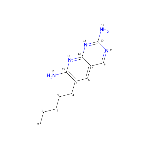 CCCCCc1cc2cnc(N)nc2nc1N